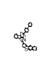 c1ccc(-c2ccc(-c3nc4c5c(nc(-c6ccc7oc8cc9ccccc9cc8c7c6)nc5n3)-c3ccccc3-4)cc2)cc1